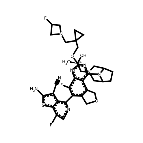 C[C@@H](O)CN1CC2CCC(C1)N2c1nc(OCC2(CN3CC(F)C3)CC2)nc2c(F)c(-c3ncc(F)c4sc(N)c(C#N)c34)c3c(c12)COC3